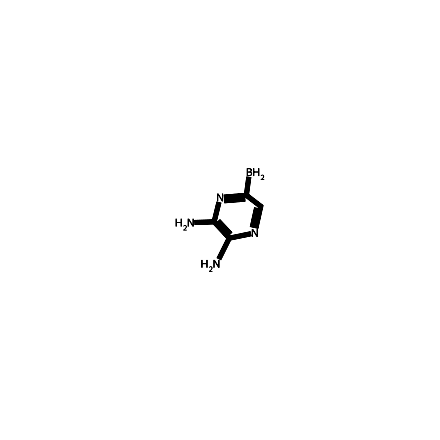 Bc1cnc(N)c(N)n1